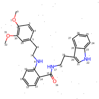 COc1ccc(CCNc2ccccc2C(=O)NCCc2c[nH]c3ccccc23)cc1OC